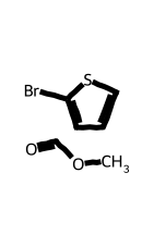 Brc1cccs1.COC=O